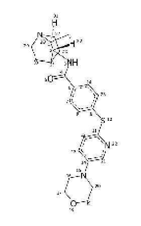 C[C@H]1[C@H](NC(=O)c2ccc(Sc3ccc(N4CCOCC4)cn3)cc2)C2CCN1CC2